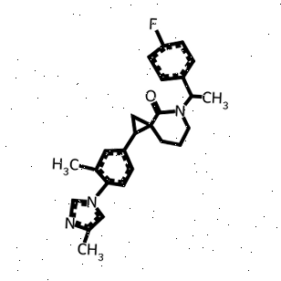 Cc1cn(-c2ccc(C3CC34CCCN(C(C)c3ccc(F)cc3)C4=O)cc2C)cn1